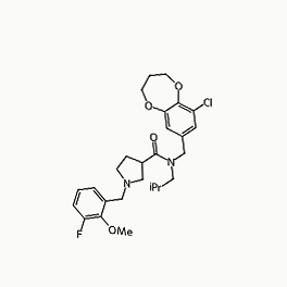 COc1c(F)cccc1CN1CCC(C(=O)N(Cc2cc(Cl)c3c(c2)OCCCO3)CC(C)C)C1